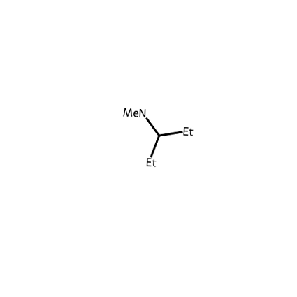 [CH]CC(C[CH2])NC